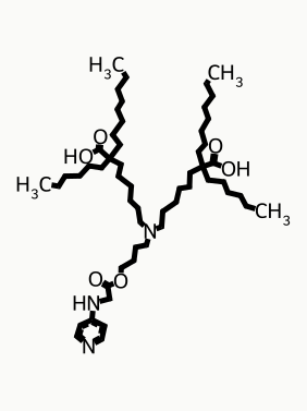 CCCCCCCCC(CCCCCC)(CCCCCCN(CCCCCCC(CCCCCC)(CCCCCCCC)C(=O)O)CCCCOC(=O)CNc1ccncc1)C(=O)O